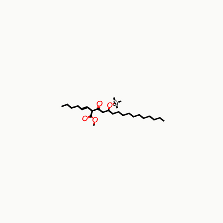 CCCCC=CC(C(=O)CC(CCCCCCCCCCC)O[Si](C)(C)C)C(=O)OC